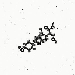 CO/C=C(/C(=O)OC)c1sc2nc(-c3ccc(OC)cc3)nn2c1C